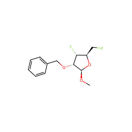 CO[C@@H]1O[C@H](CF)[C@@H](F)[C@H]1OCc1ccccc1